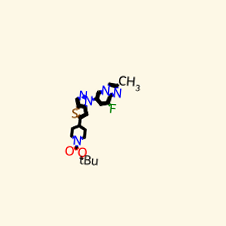 Cc1cn2cc(-n3ncc4sc(C5CCN(C(=O)OC(C)(C)C)CC5)cc43)cc(F)c2n1